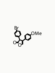 COc1ccc(C2=COC(=O)C2c2ccc(Br)cc2)cc1